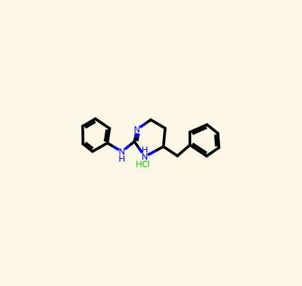 Cl.c1ccc(CC2CCN=C(Nc3ccccc3)N2)cc1